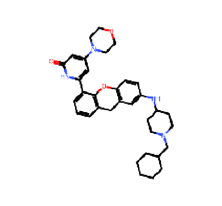 O=c1cc(N2CCOCC2)cc(-c2cccc3c2Oc2ccc(NC4CCN(CC5CCCCC5)CC4)cc2C3)[nH]1